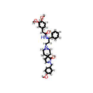 COc1ccc(CN2CCC3(CCN(CCC(NC(=O)Cc4ccc(OC)c(OC)c4)c4ccccc4)CC3)C2=O)cc1